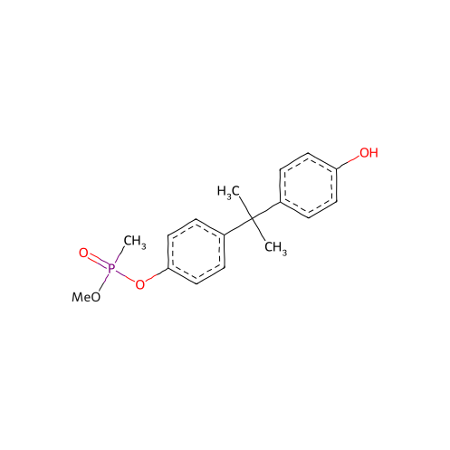 COP(C)(=O)Oc1ccc(C(C)(C)c2ccc(O)cc2)cc1